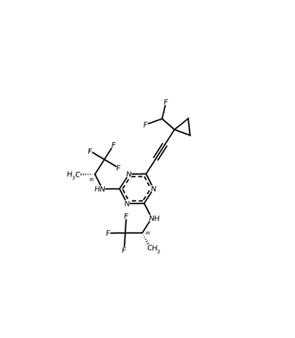 C[C@@H](Nc1nc(C#CC2(C(F)F)CC2)nc(N[C@H](C)C(F)(F)F)n1)C(F)(F)F